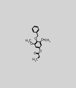 C=CC(=O)Oc1cc(OC)c(OCc2ccccc2)c(OC)c1